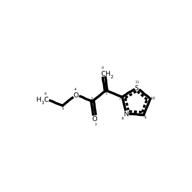 C=C(C(=O)OCC)c1nccs1